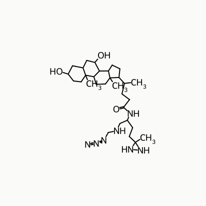 CC(CCC(=O)NC(CCC1(C)NN1)CNCN=[N+]=[N-])C1CCC2C3C(O)CC4CC(O)CCC4(C)C3CCC12C